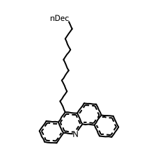 CCCCCCCCCCCCCCCCCCc1c2ccccc2nc2c1ccc1ccccc12